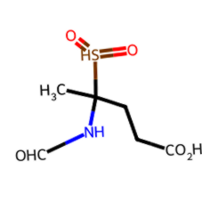 CC(CCC(=O)O)(NC=O)[SH](=O)=O